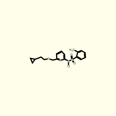 Cc1ccccc1S(=O)(=O)N(Cl)c1cccc(COCCC2CC2)n1